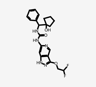 O=C(Nc1cc2[nH]nc(OCC(F)F)c2cn1)NC(c1ccccc1)C1(O)CCCC1